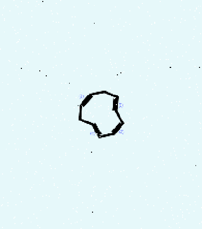 [C]1=C\C/C=C/C=C\C=C\C/1